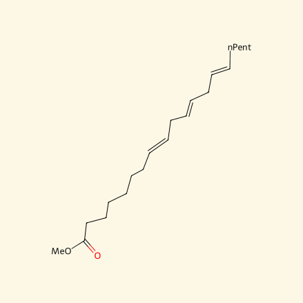 CCCCCC=CCC=CCC=CCCCCCCC(=O)OC